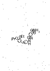 CCOc1cc(CN2CCC(Nc3nc4cc(S(N)(=O)=O)ccc4o3)CC2)ccc1OC(C)C